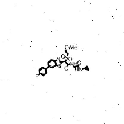 COCCS(=O)(=O)C(C(=O)NCC(=O)NC1CC1)c1nc2ccc(-c3ccc(F)cc3)cc2s1